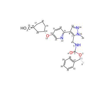 C[C@@H](OC(=O)NCc1c(-c2ccc(O[C@H]3CCC[C@H](C(=O)O)C3)cn2)cnn1C)c1ccccc1